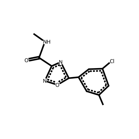 CNC(=O)c1noc(-c2cc(C)cc(Cl)c2)n1